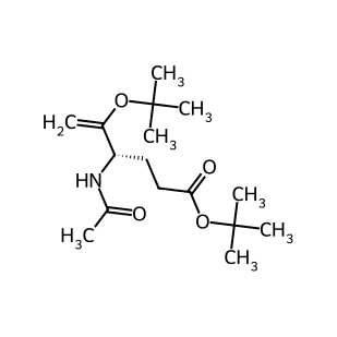 C=C(OC(C)(C)C)[C@H](CCC(=O)OC(C)(C)C)NC(C)=O